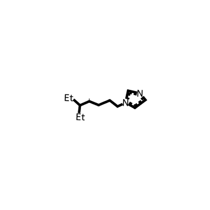 CCC([CH]CCCn1ccnc1)CC